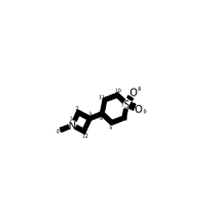 CN1CC(C2CCS(=O)(=O)CC2)C1